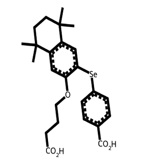 CC1(C)CCC(C)(C)c2cc([Se]c3ccc(C(=O)O)cc3)c(OCCCC(=O)O)cc21